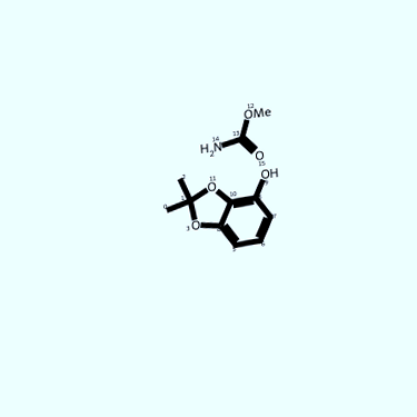 CC1(C)Oc2cccc(O)c2O1.COC(N)=O